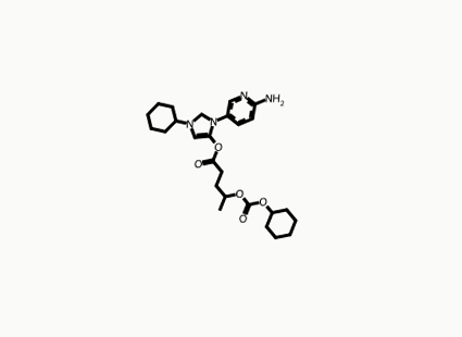 CC(CCC(=O)OC1=CN(C2CCCCC2)CN1c1ccc(N)nc1)OC(=O)OC1CCCCC1